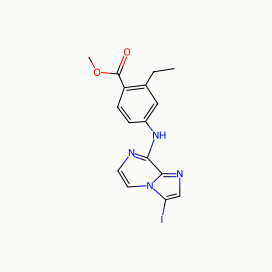 CCc1cc(Nc2nccn3c(I)cnc23)ccc1C(=O)OC